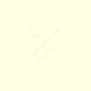 CN(C(=O)O)c1c(-c2ccccc2)c2cc(Cl)c(Cl)cc2c(=O)n1C